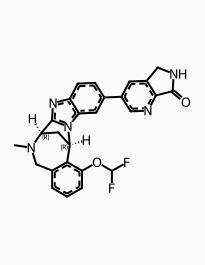 CN1Cc2cccc(OC(F)F)c2[C@H]2C[C@@H]1c1nc3ccc(-c4cnc5c(c4)CNC5=O)cc3n12